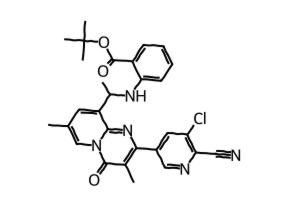 Cc1cc(C(C)Nc2ccccc2C(=O)OC(C)(C)C)c2nc(-c3cnc(C#N)c(Cl)c3)c(C)c(=O)n2c1